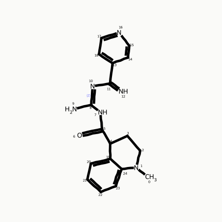 CN1CCC(C(=O)N/C(N)=N\C(=N)c2ccncc2)c2ccccc21